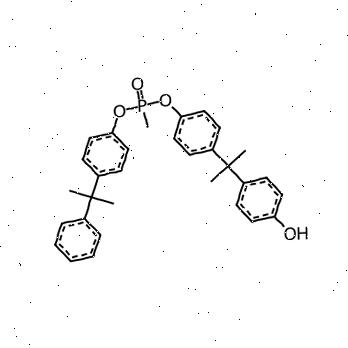 CC(C)(c1ccccc1)c1ccc(OP(C)(=O)Oc2ccc(C(C)(C)c3ccc(O)cc3)cc2)cc1